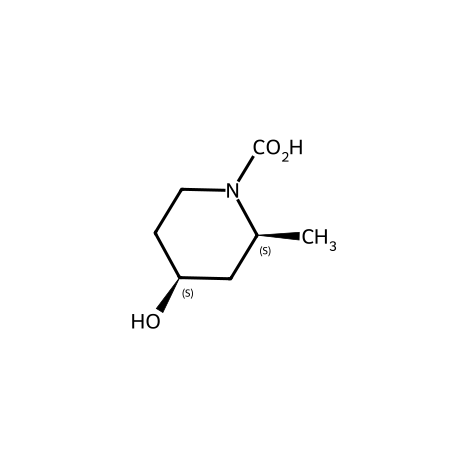 C[C@H]1C[C@@H](O)CCN1C(=O)O